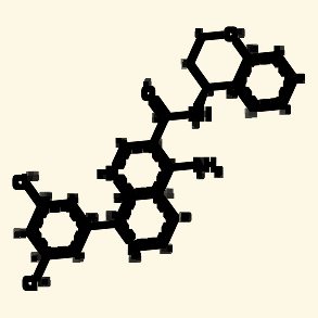 Nc1c(C(=O)N[C@H]2CCOc3ccccc32)cnc2c(-c3cc(Cl)cc(Cl)c3)nccc12